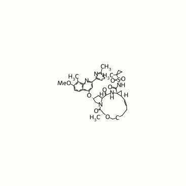 COc1ccc2c(O[C@@H]3C[C@H]4C(=O)N[C@]5(C(=O)NS(=O)(=O)C6(C)CC6)C[C@H]5/C=C\CCCCO[C@H](C)C(=O)N4C3)cc(-c3csc(C)n3)nc2c1C